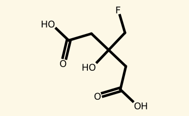 O=C(O)CC(O)(CF)CC(=O)O